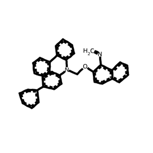 C=Nc1c(OCN(c2ccc(-c3ccccc3)cc2)c2ccccc2-c2ccccc2)ccc2ccccc12